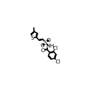 Cc1csc(/C=C/S(=O)(=O)NC(=O)c2ccc(Cl)cc2Cl)c1